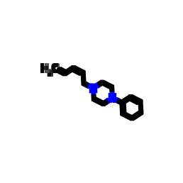 C=C/C=C\CN1CCN(C2=CCCC=C2)CC1